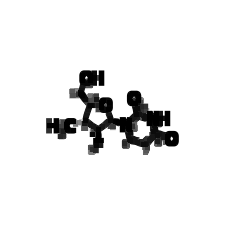 C[C@H]1[C@H](F)[C@H](n2ccc(=O)[nH]c2=O)O[C@@H]1CO